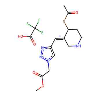 COC(=O)Cn1cc(/C=C2\CNCCC2SC(C)=O)nn1.O=C(O)C(F)(F)F